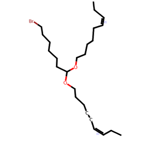 CC/C=C\CCCCCOC(CCCCCCBr)OCCCCC/C=C\CC